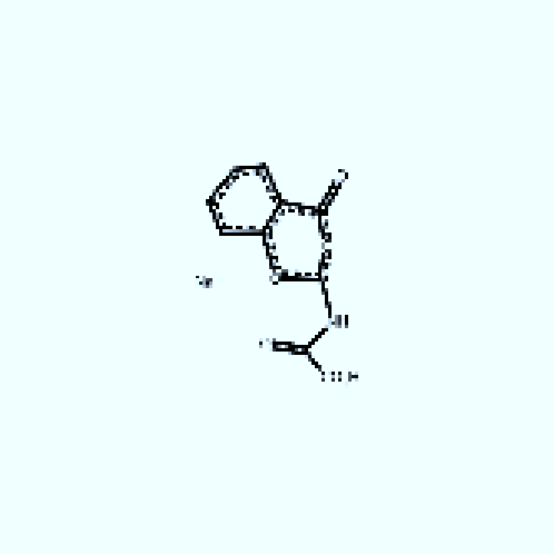 O=C(O)C(=O)Nc1cc(=O)c2ccccc2o1.[NaH]